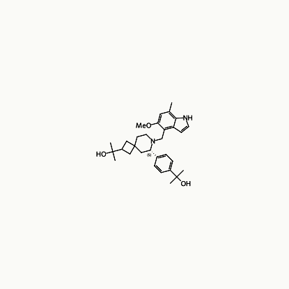 COc1cc(C)c2[nH]ccc2c1CN1CCC2(CC(C(C)(C)O)C2)C[C@H]1c1ccc(C(C)(C)O)cc1